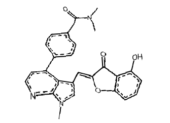 CN(C)C(=O)c1ccc(-c2ccnc3c2c(C=C2Oc4cccc(O)c4C2=O)cn3C)cc1